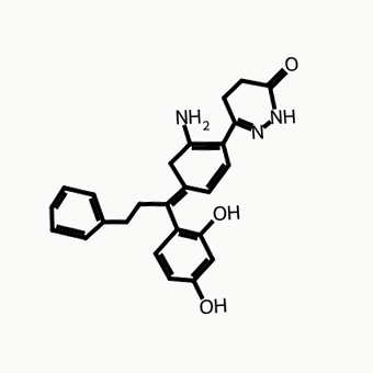 NC1=C(C2=NNC(=O)CC2)C=CC(=C(CCc2ccccc2)c2ccc(O)cc2O)C1